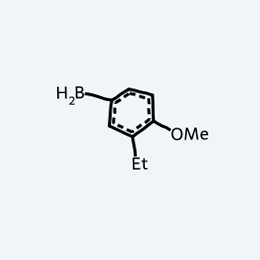 Bc1ccc(OC)c(CC)c1